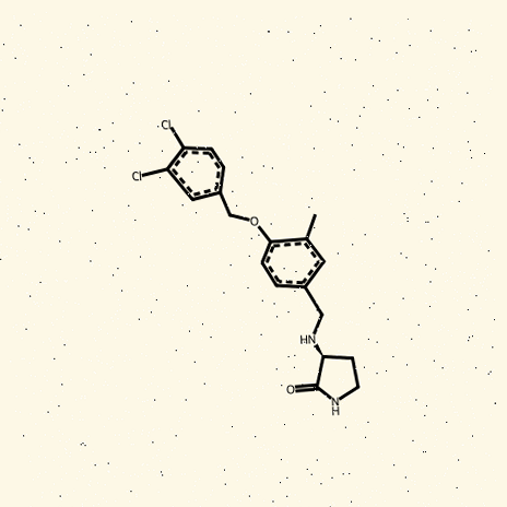 Cc1cc(CN[C@H]2CCNC2=O)ccc1OCc1ccc(Cl)c(Cl)c1